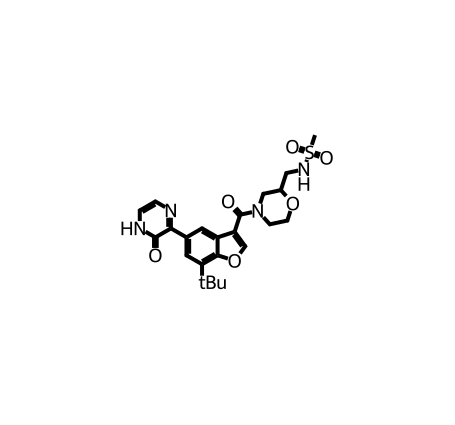 CC(C)(C)c1cc(-c2ncc[nH]c2=O)cc2c(C(=O)N3CCOC(CNS(C)(=O)=O)C3)coc12